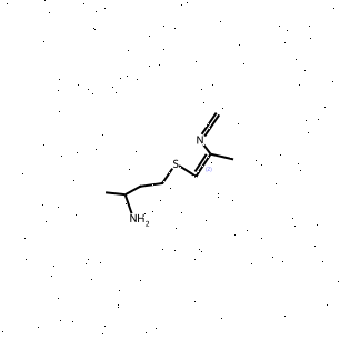 C=N/C(C)=C\SCCC(C)N